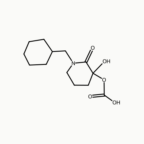 O=C(O)OC1(O)CCCN(CC2CCCCC2)C1=O